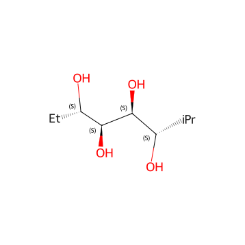 CC[C@H](O)[C@H](O)[C@@H](O)[C@@H](O)C(C)C